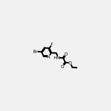 CCOC(=O)C(=O)NCc1ncc(Br)cc1F